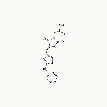 O=C(O)CN1C(=O)/C(=C/c2csc(Nc3ccccc3)n2)SC1=S